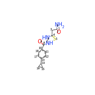 NC(=O)CC(=S)NNC(=O)c1ccc(C2CC2)cc1